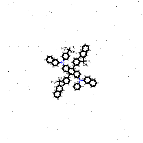 CC(C)(C)c1ccc(N(c2ccc3ccccc3c2)c2ccc3c(-c4ccc5c(c4)C(C)(C)c4cc6ccccc6cc4-5)c4cc(N(c5ccccc5)c5ccc6ccccc6c5)ccc4c(-c4ccc5c(c4)C(C)(C)c4cc6ccccc6cc4-5)c3c2)cc1